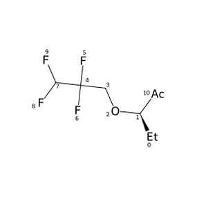 CC[C@@H](OCC(F)(F)C(F)F)C(C)=O